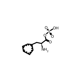 N[C@@H](Cc1ccccc1)C(=O)OS(=O)(=O)O